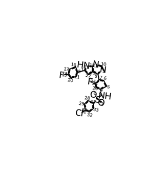 O=S(=O)(Nc1ccc(-c2ncnc3[nH]c(-c4ccc(F)cc4)cc23)c(F)c1)c1ccc(Cl)cc1